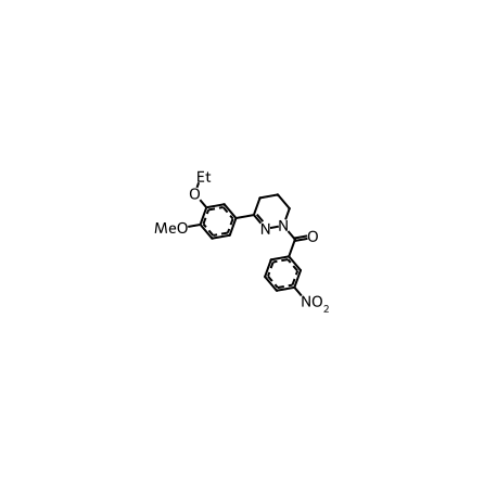 CCOc1cc(C2=NN(C(=O)c3cccc([N+](=O)[O-])c3)CCC2)ccc1OC